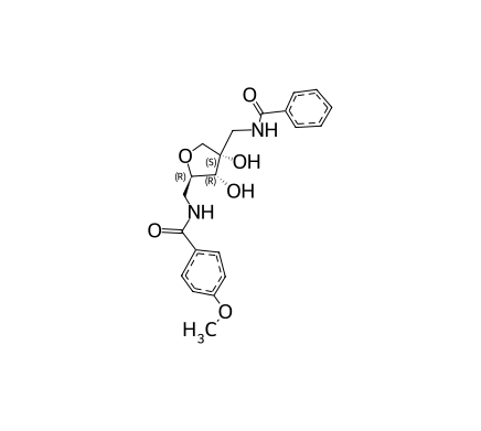 COc1ccc(C(=O)NC[C@H]2OC[C@@](O)(CNC(=O)c3ccccc3)[C@@H]2O)cc1